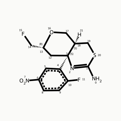 NC1=N[C@@]2(c3cc([N+](=O)[O-])ccc3F)C[C@H](CF)OC[C@H]2CS1